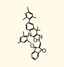 Cc1cc(C)c(-c2ccc3c(c2)C(C)(C)c2nc(C=C4C(=O)c5ccccc5C4=O)oc2N3c2c(C)cc(C)cc2C)c(C)c1